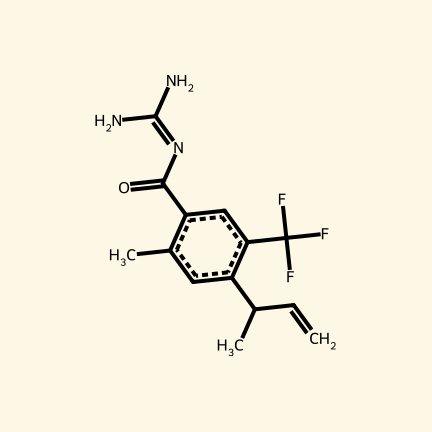 C=CC(C)c1cc(C)c(C(=O)N=C(N)N)cc1C(F)(F)F